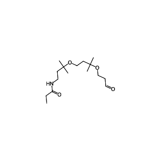 CCC(=O)NCCC(C)(C)OCCC(C)(C)OCCC=O